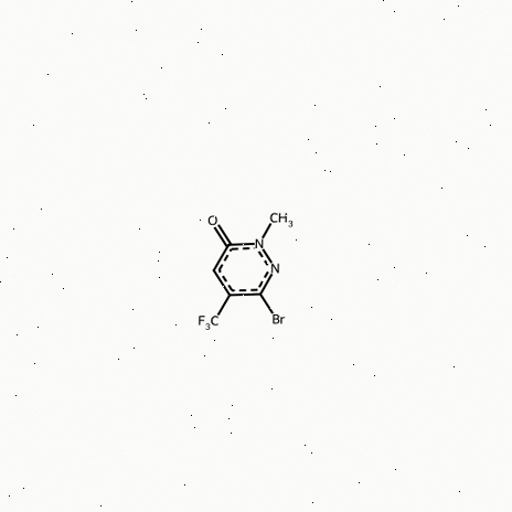 Cn1nc(Br)c(C(F)(F)F)cc1=O